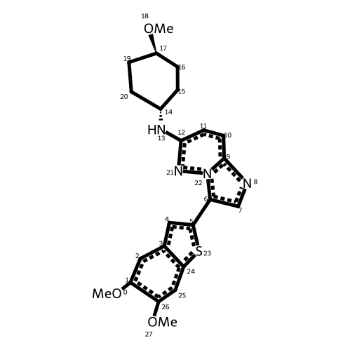 COc1cc2cc(-c3cnc4ccc(N[C@H]5CC[C@H](OC)CC5)nn34)sc2cc1OC